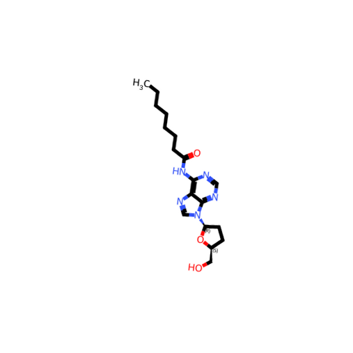 CCCCCCCC(=O)Nc1ncnc2c1ncn2[C@H]1CC[C@@H](CO)O1